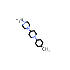 CC1CCC(N2CCC(N3CCN(C)CC3)CC2)CC1